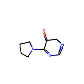 O=C1CN=[C]N=C1N1CCCC1